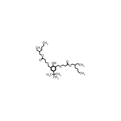 CCCCC(CC)COC(=O)CCSCc1cc(C(C)(C)C)cc(CSCCC(=O)OCC(CC)CCCC)c1O